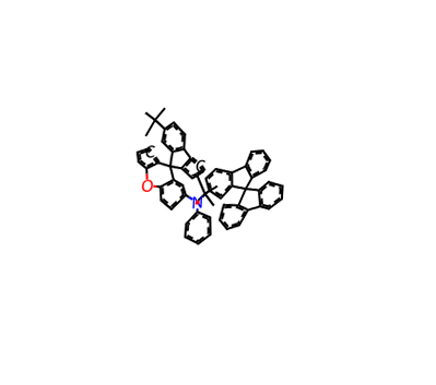 CC(C)(C)c1ccc2c(c1)C1(c3ccccc3Oc3ccc(N(c4ccccc4)c4ccc5c(c4)C4(c6ccccc6-c6ccccc64)c4ccccc4-5)cc31)c1cc(C(C)(C)C)ccc1-2